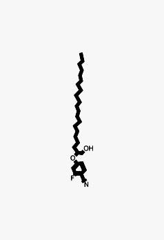 CCCCCCCCCCCCCCCCCCCC(CO)Oc1ccc(C#N)c(F)c1